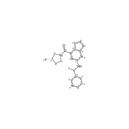 CC(Nc1nc(C(=O)N2CC[C@H](F)C2)c2sccc2n1)c1cccnc1